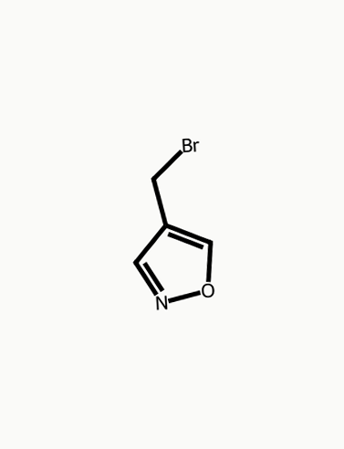 BrCc1cnoc1